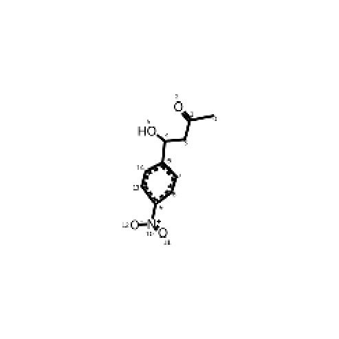 CC(=O)CC(O)c1ccc([N+](=O)[O-])cc1